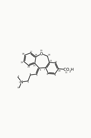 CN(C)CCC=C1c2ccc(C(=O)O)cc2COc2ccccc21